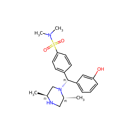 C[C@@H]1CN[C@@H](C)CN1[C@H](c1ccc(S(=O)(=O)N(C)C)cc1)c1cccc(O)c1